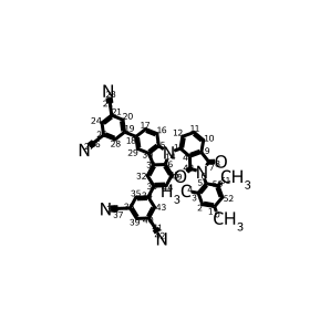 Cc1cc(C)c(N2C(=O)c3cccc(-n4c5ccc(-c6cc(C#N)cc(C#N)c6)cc5c5cc(-c6cc(C#N)cc(C#N)c6)ccc54)c3C2=O)c(C)c1